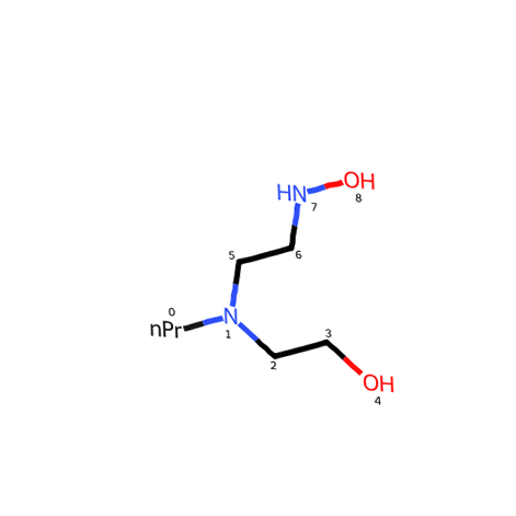 CCCN(CCO)CCNO